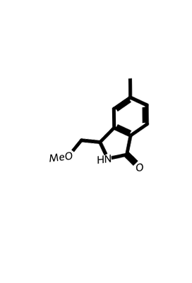 COCC1NC(=O)c2ccc(C)cc21